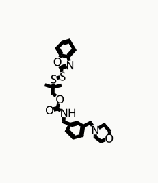 CC(C)(COC(=O)NCc1cccc(CN2CCOCC2)c1)SSc1nc2ccccc2o1